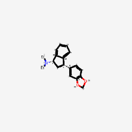 CCN(CC)[C@H]1C[C@@H](c2ccc3c(c2)OCO3)c2ccccc21